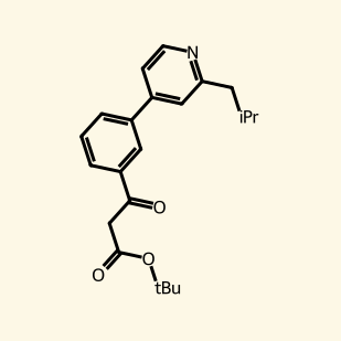 CC(C)Cc1cc(-c2cccc(C(=O)CC(=O)OC(C)(C)C)c2)ccn1